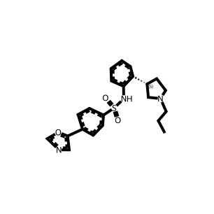 CCCN1CC[C@@H](c2ccccc2NS(=O)(=O)c2ccc(-c3cnco3)cc2)C1